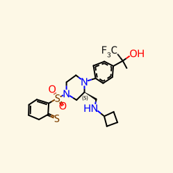 CC(O)(c1ccc(N2CCN(S(=O)(=O)C3=CC=CCC3=S)C[C@@H]2CNC2CCC2)cc1)C(F)(F)F